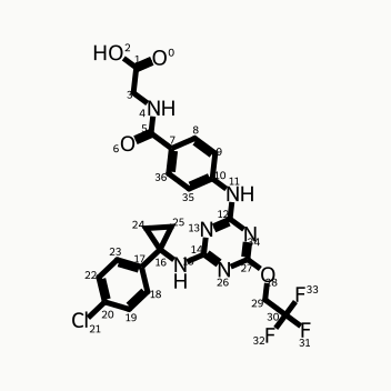 O=C(O)CNC(=O)c1ccc(Nc2nc(NC3(c4ccc(Cl)cc4)CC3)nc(OCC(F)(F)F)n2)cc1